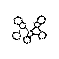 c1ccc(-n2c(-n3c4cccnc4c4c5ccccc5c5c6ccccc6sc5c43)nc3ccccc32)cc1